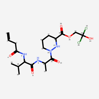 C=CCC(=O)NC(C(=O)NC(C)C(=O)N1CCCC(C(=O)OCC(O)(Cl)Cl)N1)C(C)C